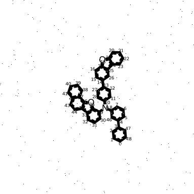 c1ccc(-c2cccc(N(c3ccc(-c4ccc5oc6ccccc6c5c4)cc3)c3cccc4c3oc3c5ccccc5ccc43)c2)cc1